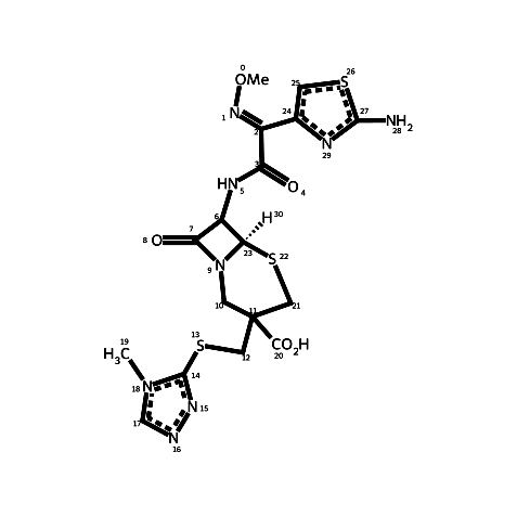 CON=C(C(=O)NC1C(=O)N2CC(CSc3nncn3C)(C(=O)O)CS[C@H]12)c1csc(N)n1